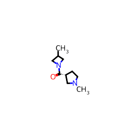 CC1CN(C(=O)[C@@H]2CCN(C)C2)C1